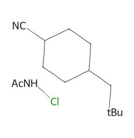 CC(=O)NCl.CC(C)(C)CC1CCC(C#N)CC1